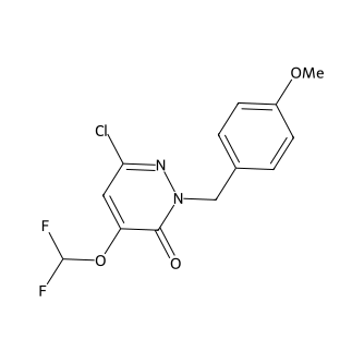 COc1ccc(Cn2nc(Cl)cc(OC(F)F)c2=O)cc1